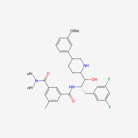 CCCN(CCC)C(=O)c1cc(C)cc(C(=O)N[C@@H](Cc2cc(F)cc(F)c2)C(O)C2CCC(c3cccc(OC)c3)CN2)c1